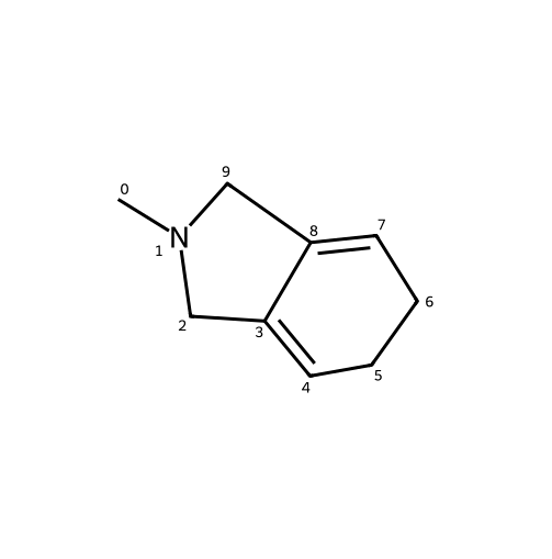 CN1CC2=CCCC=C2C1